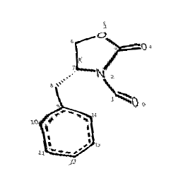 O=CN1C(=O)OC[C@H]1Cc1ccccc1